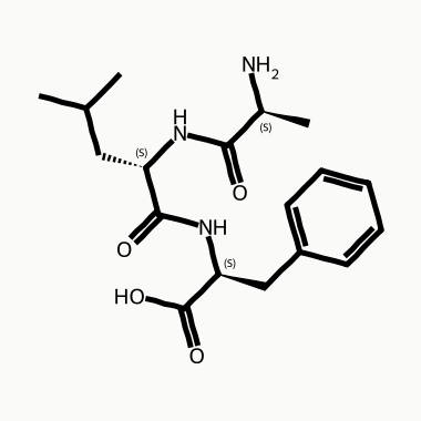 CC(C)C[C@H](NC(=O)[C@H](C)N)C(=O)N[C@@H](Cc1ccccc1)C(=O)O